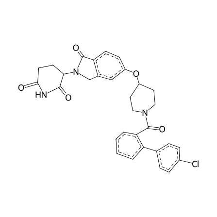 O=C1CCC(N2Cc3cc(OC4CCN(C(=O)c5ccccc5-c5ccc(Cl)cc5)CC4)ccc3C2=O)C(=O)N1